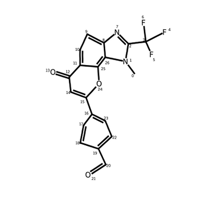 Cn1c(C(F)(F)F)nc2ccc3c(=O)cc(-c4ccc(C=O)cc4)oc3c21